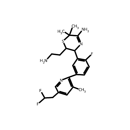 Cc1cc(CC(F)F)cnc1-c1ccc(F)c(C2N=C(N)C(C)(C)SC2CCN)c1